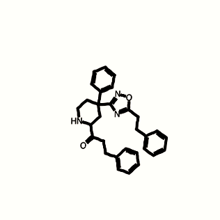 O=C(CCc1ccccc1)C1CC(c2ccccc2)(c2noc(CCc3ccccc3)n2)CCN1